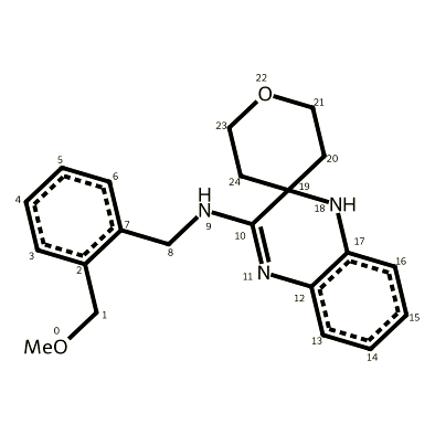 COCc1ccccc1CNC1=Nc2ccccc2NC12CCOCC2